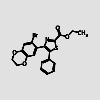 CCOC(=O)c1nc(-c2cc3c(cc2Br)OCCO3)c(-c2ccccc2)s1